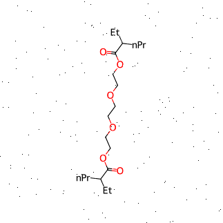 CCCC(CC)C(=O)OCCOCCOCCOC(=O)C(CC)CCC